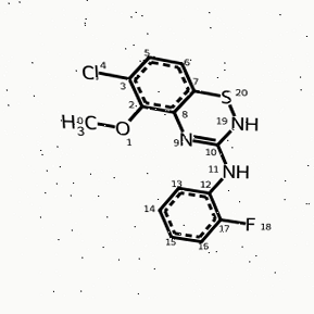 COc1c(Cl)ccc2c1N=C(Nc1ccccc1F)NS2